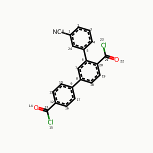 N#Cc1cccc(-c2cc(-c3ccc(C(=O)Cl)cc3)ccc2C(=O)Cl)c1